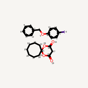 Ic1ccc(OCc2ccccc2)cc1.O=C1CC(=O)OC2(CCCCCCC2)O1